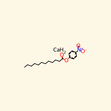 CCCCCCCCCCCC(=O)Oc1ccc([N+](=O)[O-])cc1.[CaH2]